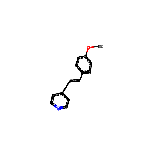 CCOc1ccc(/C=C/c2ccncc2)cc1